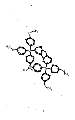 COc1ccc([Si](c2ccc(OC)cc2)(c2ccc(OC)cc2)c2ccc3c(c2)-c2cc([Si](c4ccc(OC)cc4)(c4ccc(OC)cc4)c4ccc(OC)cc4)ccc2C3)cc1